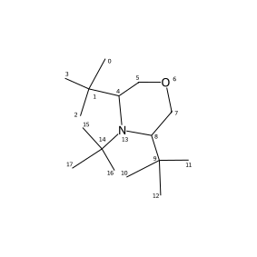 CC(C)(C)C1COCC(C(C)(C)C)N1C(C)(C)C